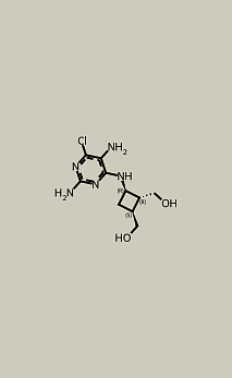 Nc1nc(Cl)c(N)c(N[C@@H]2C[C@H](CO)[C@H]2CO)n1